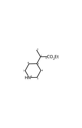 CCOC(=O)C(C)C1CCNCC1